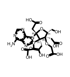 Nc1ncnc2c1ncn2[C@]1(CC(=O)O)O[C@H](CO)[C@@](CC(=O)O)(OCC(=O)O)[C@@]1(CC(=O)O)OCC(=O)O